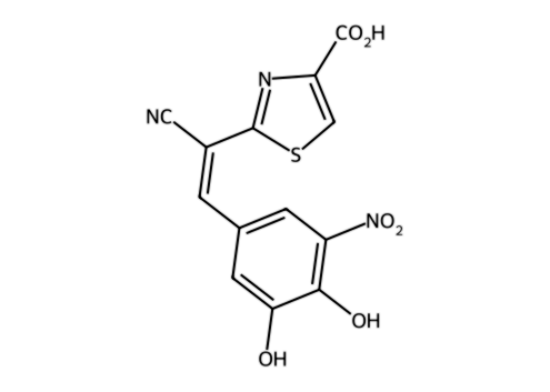 N#CC(=Cc1cc(O)c(O)c([N+](=O)[O-])c1)c1nc(C(=O)O)cs1